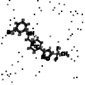 CC(F)(F)c1cc(C23CCC(CNc4cccc(Br)c4)(CC2)CC3)no1